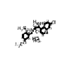 COc1ccc(OC)c(CNC(C)(C)C(N)c2ccnc3cc(Cl)ccc23)c1.Cl.Cl